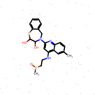 Cc1ccc2nc(N3Cc4ccccc4SC(O)C3O)cc(NCC[S+](C)[O-])c2c1